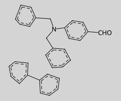 O=Cc1ccc(N(Cc2ccccc2)Cc2ccccc2)cc1.c1ccc(-c2ccccc2)cc1